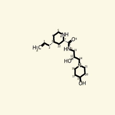 C=CC[C@@H]1CCN[C@H](C(=O)NC[C@@H](O)CN2CCC(O)CC2)C1